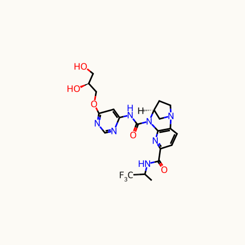 CC(NC(=O)c1ccc2c(n1)N(C(=O)Nc1cc(OC[C@@H](O)CO)ncn1)[C@H]1CCN2C1)C(F)(F)F